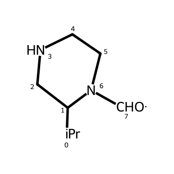 CC(C)C1CNCCN1[C]=O